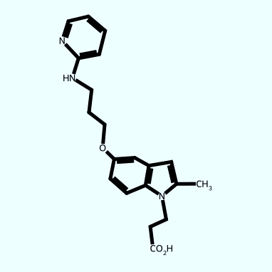 Cc1cc2cc(OCCCNc3ccccn3)ccc2n1CCC(=O)O